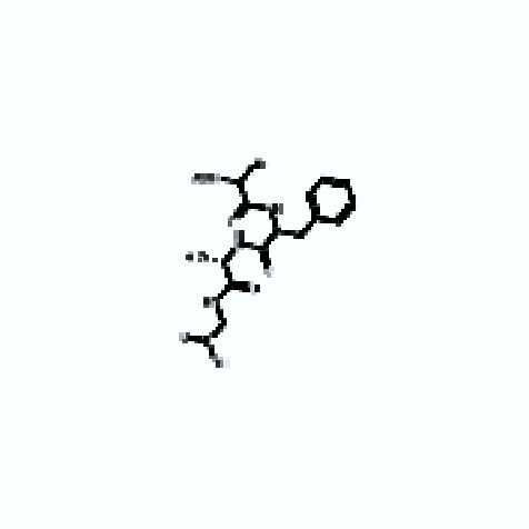 CC(=O)N[C@H](C(=O)N[C@@H](Cc1ccccc1)C(=O)N[C@@H](C)C(=O)NCB(O)O)C(C)C